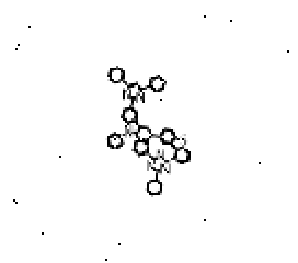 c1ccc(-c2cc(-c3ccccc3)nc(-c3ccc4c(c3)c3cc(-c5ccc6sc7cccc(-c8nc(-c9ccccc9)nc(-c9ccccc9)n8)c7c6c5)ccc3n4-c3ccccc3)n2)cc1